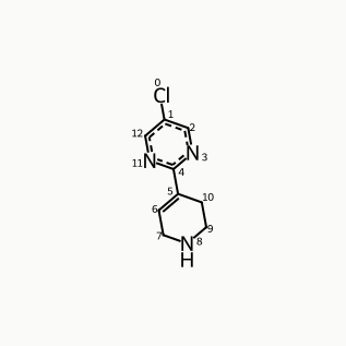 Clc1cnc(C2=CCNCC2)nc1